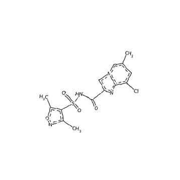 Cc1cc(Cl)c2nc(C(=O)NS(=O)(=O)c3c(C)noc3C)cn2c1